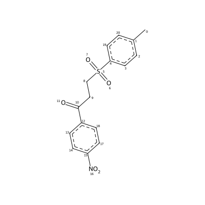 Cc1ccc(S(=O)(=O)CCC(=O)c2ccc([N+](=O)[O-])cc2)cc1